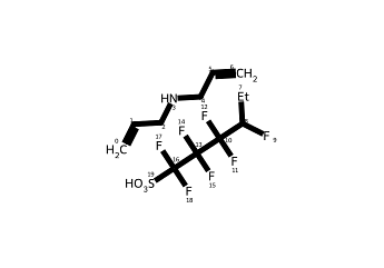 C=CCNCC=C.CCC(F)C(F)(F)C(F)(F)C(F)(F)S(=O)(=O)O